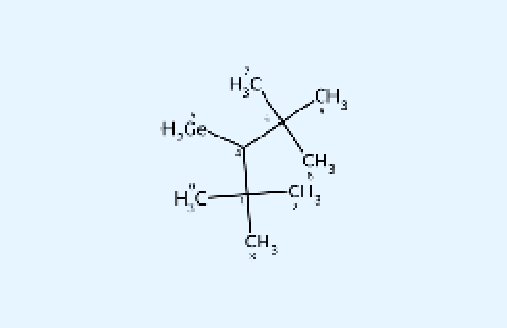 CC(C)(C)[CH]([GeH2])C(C)(C)C